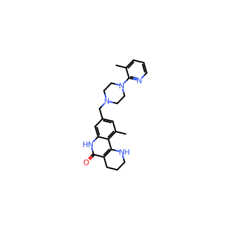 Cc1cccnc1N1CCN(Cc2cc(C)c3c4c(c(=O)[nH]c3c2)CCCN4)CC1